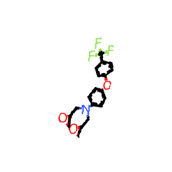 FC(F)(F)c1ccc(Oc2ccc(N(CC3CO3)CC3CO3)cc2)cc1